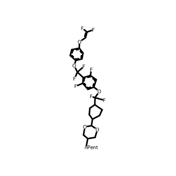 CCCCCC1COC(C2CCC(C(F)(F)Oc3cc(F)c(C(F)(F)Oc4ccc(OC=C(F)F)cc4)c(F)c3)CC2)OC1